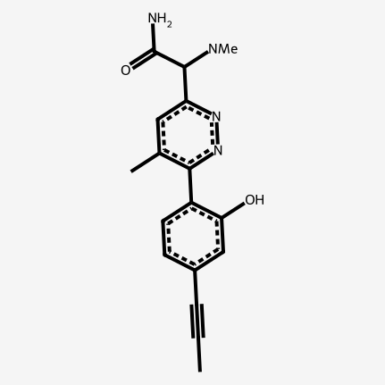 CC#Cc1ccc(-c2nnc(C(NC)C(N)=O)cc2C)c(O)c1